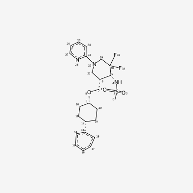 CS(=O)(=O)N[C@@H]1[C@H](CO[C@H]2CC[C@@H](c3ccccc3)CC2)CN(c2ccccn2)CC1(F)F